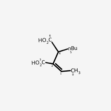 CC=C(C(=O)O)C(CCCC)C(=O)O